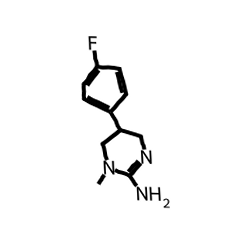 CN1CC(c2ccc(F)cc2)CN=C1N